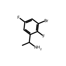 CC(N)c1cc(F)cc(Br)c1F